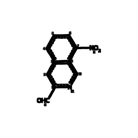 O=Cc1cc2cccc([N+](=O)[O-])c2cn1